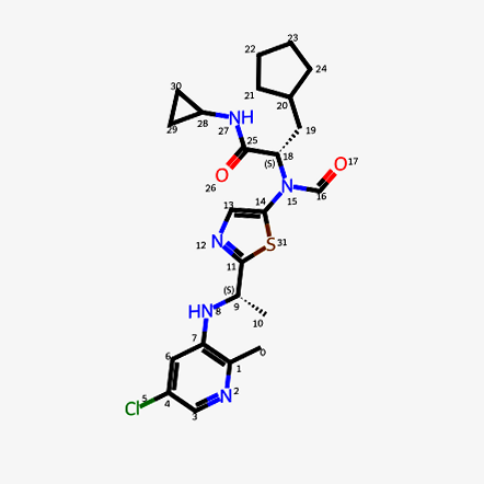 Cc1ncc(Cl)cc1N[C@@H](C)c1ncc(N(C=O)[C@@H](CC2CCCC2)C(=O)NC2CC2)s1